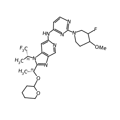 COC1CCN(c2nccc(Nc3cc4c(cn3)nc([C@@H](C)OC3CCCCO3)n4[C@H](C)C(F)(F)F)n2)CC1F